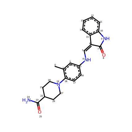 Cc1cc(NC=C2C(=O)Nc3ccccc32)ccc1N1CCC(C(N)=O)CC1